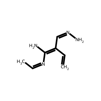 C=CC(/C=N\N)=C(N)\N=C/C